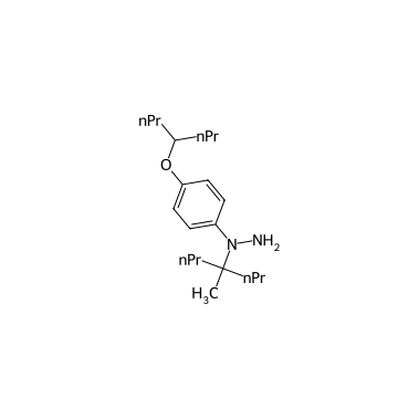 CCCC(CCC)Oc1ccc(N(N)C(C)(CCC)CCC)cc1